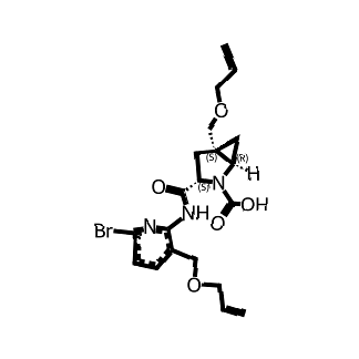 C=CCOCc1ccc(Br)nc1NC(=O)[C@@H]1C[C@@]2(COCC=C)C[C@H]2N1C(=O)O